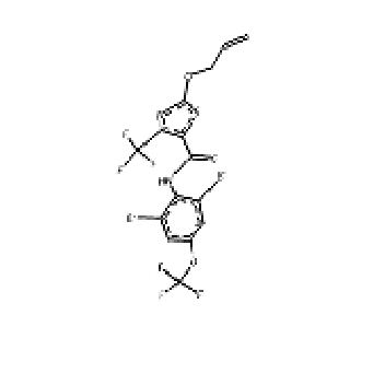 C=CCOc1nc(C(F)(F)F)c(C(=O)Nc2c(Br)cc(OC(F)(F)F)cc2Br)s1